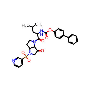 CC(C)CC(NC(=O)Oc1ccc(-c2ccccc2)cc1)C(=O)N1CCC2C1C(=O)CN2S(=O)(=O)c1cccnc1